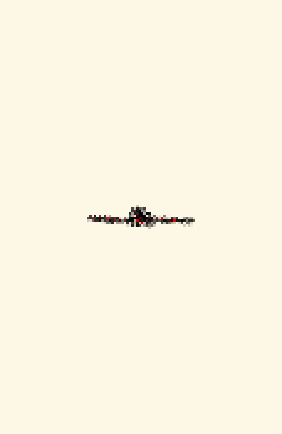 CCCCCCCCCCCCCCCCCC(=O)OC1CCC2C(OC(=O)CCCCCCCCCCCCCCCCC)CCC1N2Cc1ccccc1